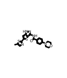 Cc1cnc(-c2cc3[nH]nc(NC(=O)c4ccc(N5CCOCC5)cc4)c3s2)s1